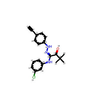 C#Cc1ccc(N/N=C(/Nc2cccc(Cl)c2)C(=O)C(C)(C)C)cc1